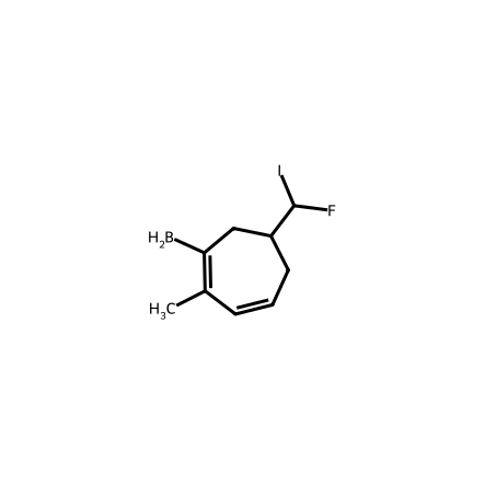 BC1=C(C)C=CCC(C(F)I)C1